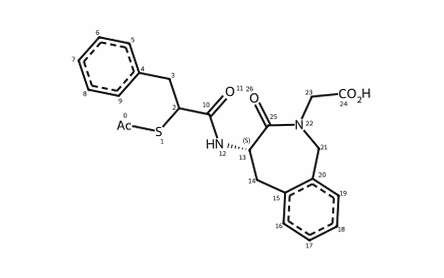 CC(=O)SC(Cc1ccccc1)C(=O)N[C@H]1Cc2ccccc2CN(CC(=O)O)C1=O